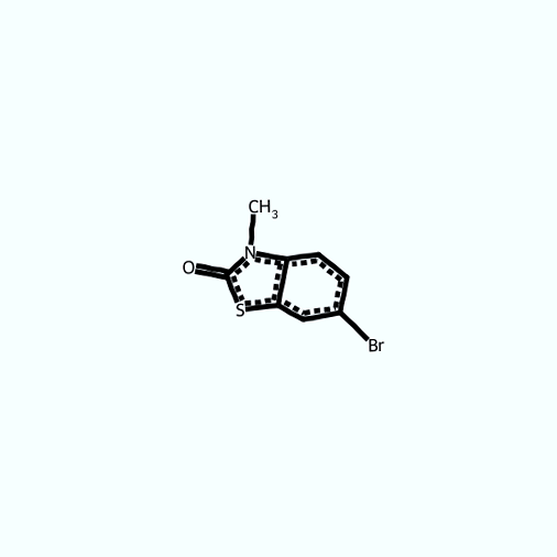 Cn1c(=O)sc2cc(Br)ccc21